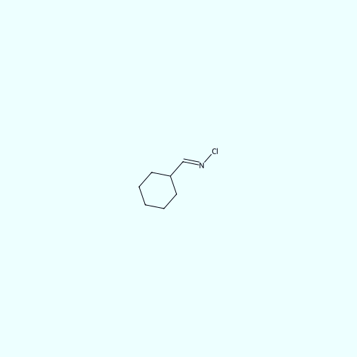 ClN=CC1CCCCC1